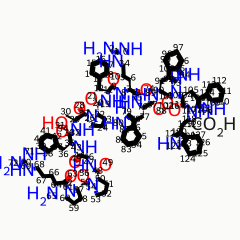 N=C(N)NCCC[C@H](NC(=O)[C@H](Cc1ccccc1)NC(=O)[C@@H]1CCCN1C(=O)[C@H](CO)NC(=O)[C@H](Cc1ccccc1)NC(=O)CNC(=O)[C@@H]1CCCN1C(=O)[C@@H]1CCCN1C(=O)[C@@H](N)CCCNC(=N)N)C(=O)N[C@@H](Cc1c[nH]c2ccccc12)C(=O)N[C@@H](Cc1c[nH]c2ccccc12)C(=O)N[C@@H](Cc1c[nH]c2ccccc12)C(=O)N[C@@H](Cc1c[nH]c2ccccc12)C(=O)O